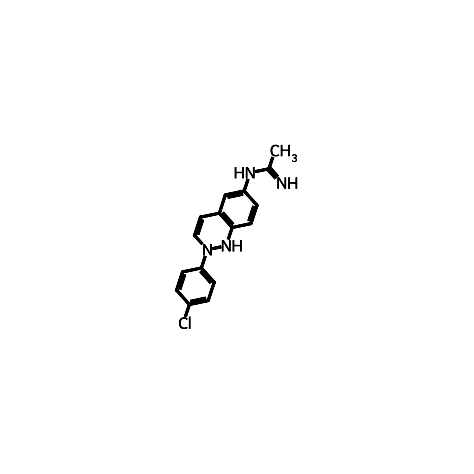 CC(=N)Nc1ccc2c(c1)C=CN(c1ccc(Cl)cc1)N2